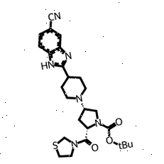 CC(C)(C)OC(=O)N1C[C@@H](N2CCC(c3nc4cc(C#N)ccc4[nH]3)CC2)C[C@H]1C(=O)N1CCSC1